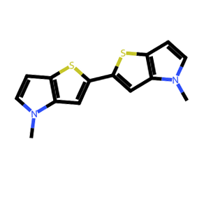 Cn1ccc2sc(-c3cc4c(ccn4C)s3)cc21